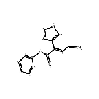 C=CC=C(C(=O)Oc1ccccc1)c1ccsc1